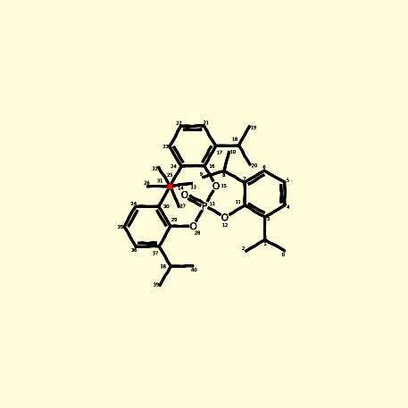 CC(C)c1cccc(C(C)C)c1OP(=O)(Oc1c(C(C)C)cccc1C(C)C)Oc1c(C(C)C)cccc1C(C)C